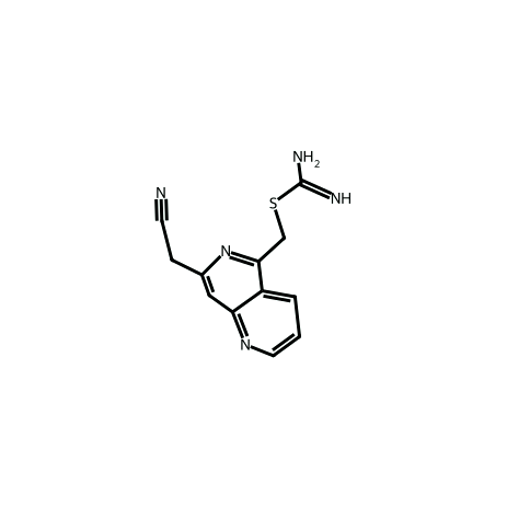 N#CCc1cc2ncccc2c(CSC(=N)N)n1